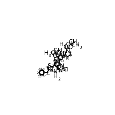 CC(C)(C)OC(=O)N1CCC[C@@H]([C@H]2C[C@@H](n3cc(-c4nc(Cc5ccccc5)cs4)c4c(N)nc(Cl)nc43)[C@@H]3OC(C)(C)O[C@H]23)C1